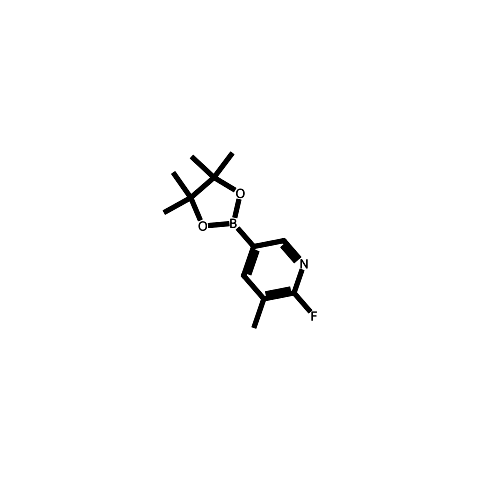 Cc1cc(B2OC(C)(C)C(C)(C)O2)cnc1F